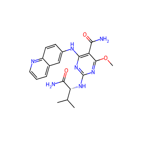 COc1nc(N[C@@H](C(N)=O)C(C)C)nc(Nc2ccc3ncccc3c2)c1C(N)=O